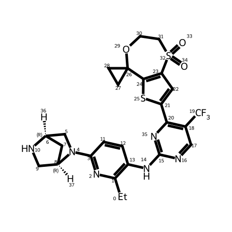 CCc1nc(N2C[C@H]3C[C@@H]2CN3)ccc1Nc1ncc(C(F)(F)F)c(-c2cc3c(s2)C2(CC2)OCCS3(=O)=O)n1